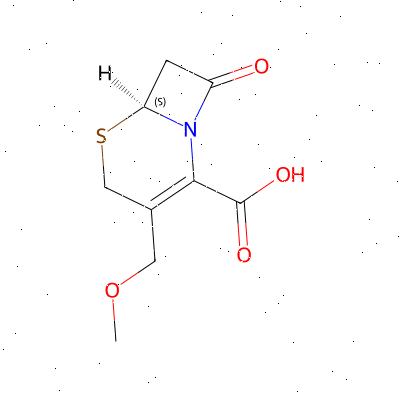 COCC1=C(C(=O)O)N2C(=O)C[C@@H]2SC1